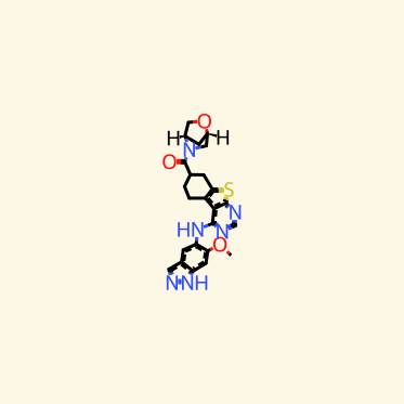 COc1cc2[nH]ncc2cc1Nc1ncnc2sc3c(c12)CCC(C(=O)N1C[C@@H]2C[C@H]1CO2)C3